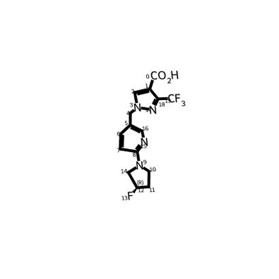 O=C(O)c1cn(Cc2ccc(N3CC[C@@H](F)C3)nc2)nc1C(F)(F)F